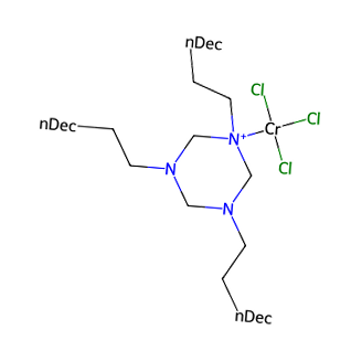 CCCCCCCCCCCCN1CN(CCCCCCCCCCCC)C[N+](CCCCCCCCCCCC)([Cr]([Cl])([Cl])[Cl])C1